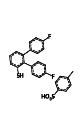 Cc1ccc(S(=O)(=O)O)cc1.Fc1ccc(-c2cccc(S)c2-c2ccc(F)cc2)cc1